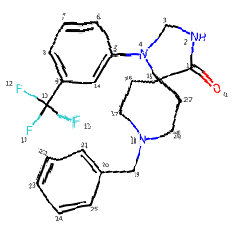 O=C1NCN(c2cccc(C(F)(F)F)c2)C12CCN(Cc1ccccc1)CC2